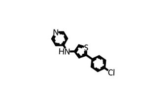 Clc1ccc(-c2cc(Nc3ccncc3)cs2)cc1